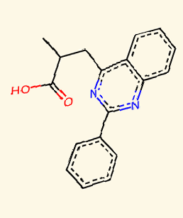 CC(Cc1nc(-c2ccccc2)nc2ccccc12)C(=O)O